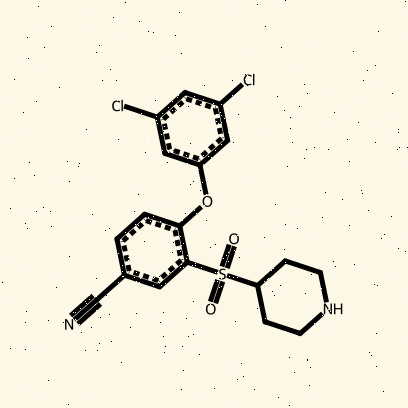 N#Cc1ccc(Oc2cc(Cl)cc(Cl)c2)c(S(=O)(=O)C2CCNCC2)c1